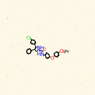 CC(C)Oc1ccc(Oc2ccc(NC(=O)N3CC(c4ccccc4)=C(c4ccc(Cl)cc4)N3)cc2)cc1